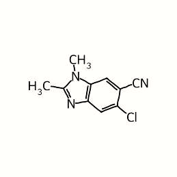 Cc1nc2cc(Cl)c(C#N)cc2n1C